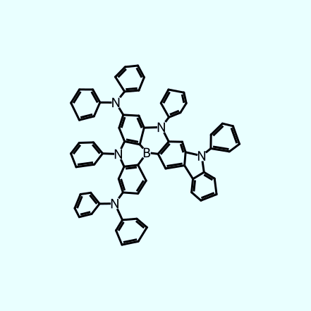 c1ccc(N(c2ccccc2)c2ccc3c(c2)N(c2ccccc2)c2cc(N(c4ccccc4)c4ccccc4)cc4c2B3c2cc3c5ccccc5n(-c5ccccc5)c3cc2N4c2ccccc2)cc1